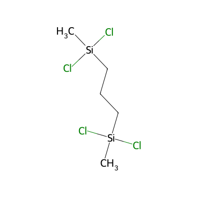 C[Si](Cl)(Cl)CCC[Si](C)(Cl)Cl